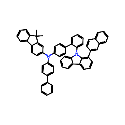 CC1(C)c2ccccc2-c2ccc(N(c3ccc(-c4ccccc4)cc3)c3ccc(-c4ccccc4-n4c5ccccc5c5cccc(-c6ccc7ccccc7c6)c54)cc3)cc21